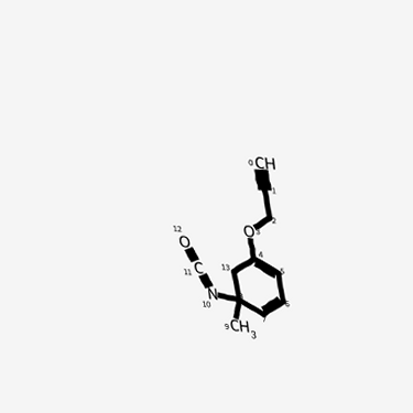 C#CCOC1=CC=CC(C)(N=C=O)C1